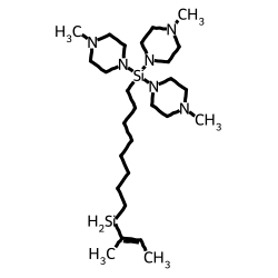 CC=C(C)[SiH2]CCCCCCCC[Si](N1CCN(C)CC1)(N1CCN(C)CC1)N1CCN(C)CC1